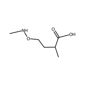 CNOCCC(C)C(=O)O